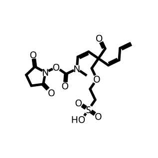 C=C/C=C\C(C=O)(/C=C\N(C)C(=O)ON1C(=O)CCC1=O)COCCS(=O)(=O)O